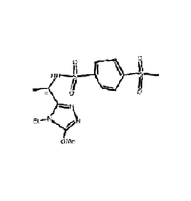 CCn1c(OC)nnc1[C@@H](C)NS(=O)(=O)c1ccc(S(C)(=O)=O)cc1